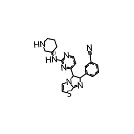 N#Cc1cccc(C2N=C3SC=CN3C2c2ccnc(N[C@@H]3CCCNC3)n2)c1